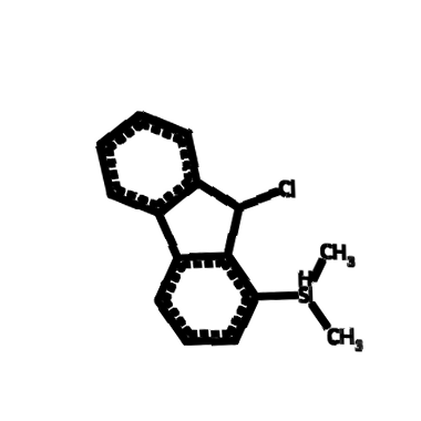 C[SiH](C)c1cccc2c1C(Cl)c1ccccc1-2